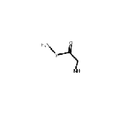 [NH]CC(=O)SN